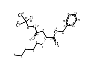 CCCCCC[C@H](CC(=O)OCC(Cl)(Cl)Cl)C(=O)OCc1ccccc1